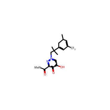 CNC(=O)c1nn(CC(C)(C)C2=CC(C(F)(F)F)=CC(C)C2)cc(O)c1=O